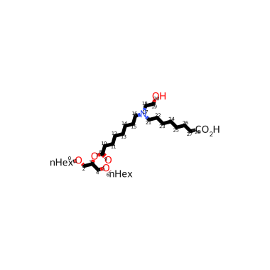 CCCCCCOCC(COCCCCCC)OC(=O)CCCCCCCN(CCO)CCCCCCCC(=O)O